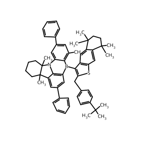 Cc1cc(-c2ccccc2)cc2c1B(c1c(Cc3ccc(C(C)(C)C)cc3)sc3cc4c(cc13)C(C)(C)CCC4(C)C)c1cc(-c3ccccc3)cc3c1N2C1(C)CCCCC31C